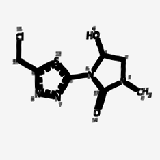 CN1CC(O)N(c2nnc(CCl)s2)C1=O